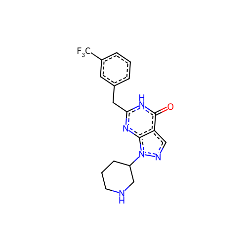 O=c1[nH]c(Cc2cccc(C(F)(F)F)c2)nc2c1cnn2C1CCCNC1